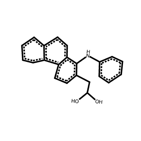 OC(O)Cc1ccc2c(ccc3ccccc32)c1Nc1ccccc1